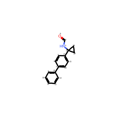 O=CNC1(c2ccc(-c3ccccc3)cc2)CC1